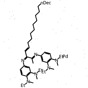 CCCCCCCCCCCCCCCCCCCC=CC(=Nc1ccc(N(C)CC)c(N(C)CC)c1)C(C)=Nc1ccc(N(C)CC)c(N(C)CC)c1.[Pd]